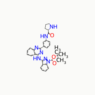 CC(C)(C)OC(=O)n1nc(Nc2nc(-c3cccc(NC(=O)[C@H]4CCCN4)c3)nc3ccccc23)c2ccccc21